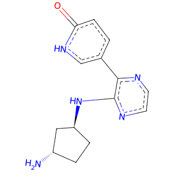 N[C@H]1CC[C@H](Nc2nccnc2-c2ccc(=O)[nH]c2)C1